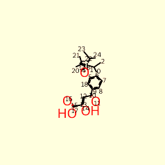 CC(C)[Si](Oc1cccc(C(=O)C=C(O)C(=O)O)c1)(C(C)C)C(C)C